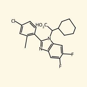 Cc1cc(Cl)ccc1-c1nc2cc(F)c(F)cc2n1C(C(=O)O)C1CCCCC1